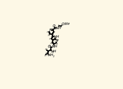 COCCNC(=O)c1cc(-c2cc3cc(NC(=O)C(=N)/C(C)=C(/C)N)cnc3[nH]2)ccn1